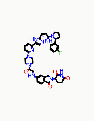 N=C(/C=C\c1ncc(-c2cccc(N3CCN(C(=O)CNc4ccc5c(c4)CN(C4CCC(=O)NC4=O)C5=O)CC3)n2)[nH]1)N1CCCC1c1cccc(F)c1